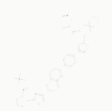 COC(=O)NC(C(=O)N1CC2(CC1c1ncc(-c3ccc(-c4ccc5cc(-c6cnc(C7CCCN7C(=O)OC(C)(C)C)[nH]6)ccc5c4)cc3)[nH]1)OCCO2)C(C)C